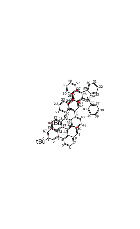 CC(C)(C)c1cc(-c2cccc3cccc(-c4ccccc4N(c4cccc(-c5ccc6c7ccccc7n(-c7ccccc7)c6c5)c4)c4ccccc4-c4ccc(-c5ccccc5)cc4)c23)cc(C(C)(C)C)c1